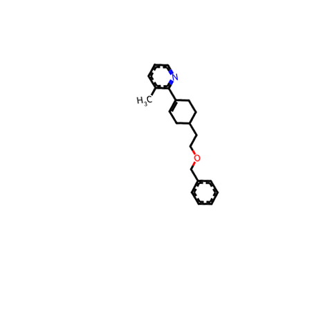 Cc1cccnc1C1=CCC(CCOCc2ccccc2)CC1